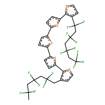 CC(F)(F)CC(F)(F)CC(F)(F)Cc1ccsc1-c1ccc(-c2ccc(-c3ccc(-c4sccc4C(F)(F)CC(F)(F)CC(F)(F)CC(F)(F)F)s3)s2)s1